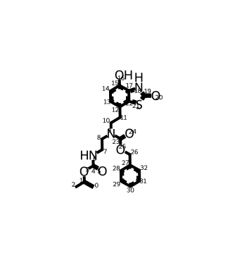 C=C(C)OC(=O)NCCN(CCc1ccc(O)c2[nH]c(=O)sc12)C(=O)OCc1ccccc1